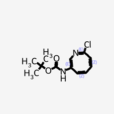 CC(C)(C)OC(=O)NC1=C/N=C(Cl)\C=C/C=C\1